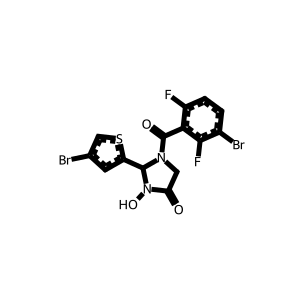 O=C1CN(C(=O)c2c(F)ccc(Br)c2F)C(c2cc(Br)cs2)N1O